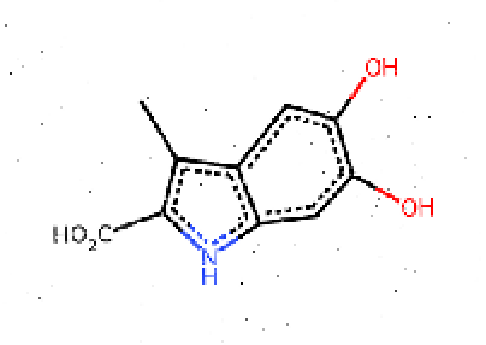 Cc1c(C(=O)O)[nH]c2cc(O)c(O)cc12